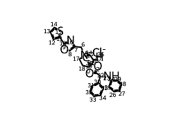 O=C(O[C@H]1C[N+]2(Cc3coc(-c4cccs4)n3)CCC1CC2)[C@H](Nc1ccccc1)c1ccccc1.[Cl-]